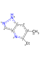 CCc1nc2cn[nH]c2cc1C